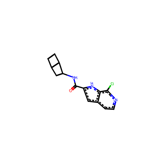 O=C(NC1CC2CCC21)c1cc2ccnc(Cl)c2[nH]1